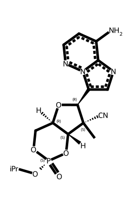 CC(C)O[P@]1(=O)OC[C@H]2O[C@@H](c3cnc4c(N)ccnn34)[C@](C)(C#N)[C@@H]2O1